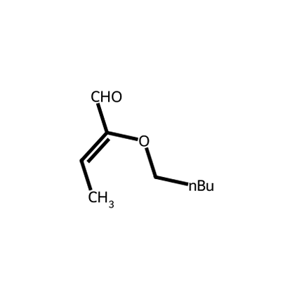 CC=C(C=O)OCCCCC